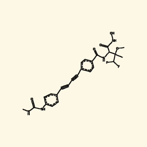 CNC(=O)Nc1ccc(C#CC#Cc2ccc(C(=O)NC(C(=O)NO)C(C)(OC)C(F)F)cc2)cc1